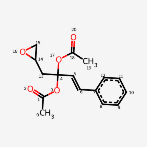 CC(=O)OC(C=Cc1ccccc1)(CC1CO1)OC(C)=O